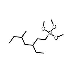 CCC(C)CC(CC)CC[Si](OC)(OC)OC